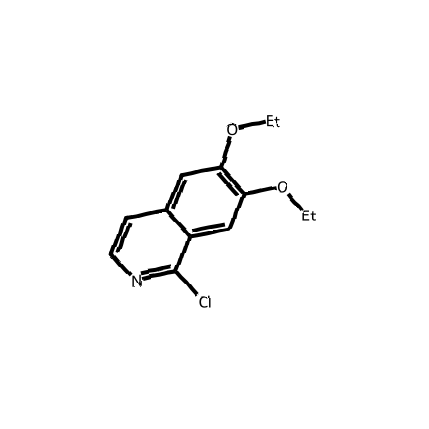 CCOc1cc2ccnc(Cl)c2cc1OCC